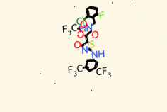 O=C(NCc1c(F)cccc1Cl)C(OC(=O)C(F)(F)F)C1SC(Nc2cc(C(F)(F)F)cc(C(F)(F)F)c2)=NC1=O